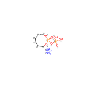 N.N.O=P(O)(O)OP1(=O)OCCCCCCO1